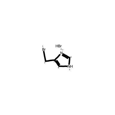 Br.BrCc1c[nH]cn1